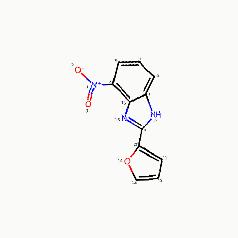 O=[N+]([O-])c1cccc2[nH]c(-c3ccco3)nc12